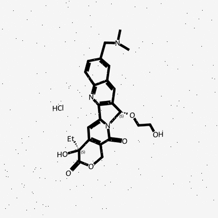 CC[C@@]1(O)C(=O)OCc2c1cc1n(c2=O)[C@@H](OCCO)c2cc3cc(CN(C)C)ccc3nc2-1.Cl